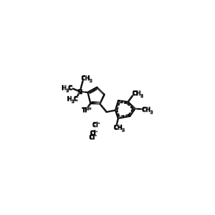 Cc1cc(C)c(CC2=[C]([Ti+3])C([Si](C)(C)C)=CC2)cc1C.[Cl-].[Cl-].[Cl-]